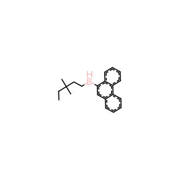 CCC(C)(C)CCBc1cc2ccccc2c2ccccc12